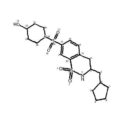 O=S1(=O)NC(CC2CCCC2)Cc2ccc(S(=O)(=O)N3CCC(O)CC3)cc21